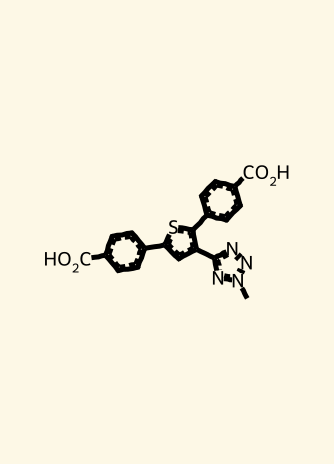 Cn1nnc(-c2cc(-c3ccc(C(=O)O)cc3)sc2-c2ccc(C(=O)O)cc2)n1